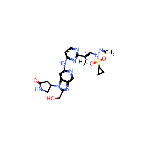 C=NN(/C=C(\C)c1nccc(Nc2cc3c(cn2)nc(CO)n3C2CNC(=O)C2)n1)S(=O)(=O)C1CC1